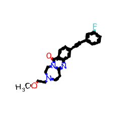 COCCN1CCc2nc3cc(C#Cc4cccc(F)c4)ccc3c(=O)n2CC1